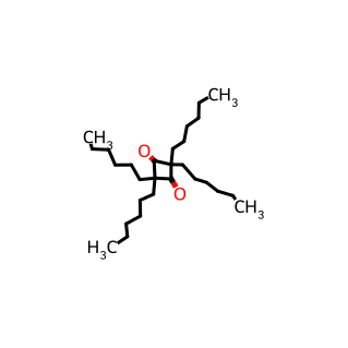 CCCCCCC1(CCCCCC)C(=O)C(CCCCCC)(CCCCCC)C1=O